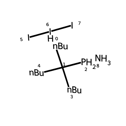 CCCCC(P)(CCCC)CCCC.I[IH]I.N